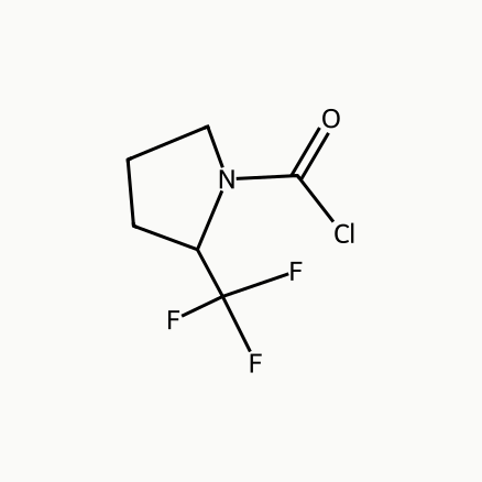 O=C(Cl)N1CCCC1C(F)(F)F